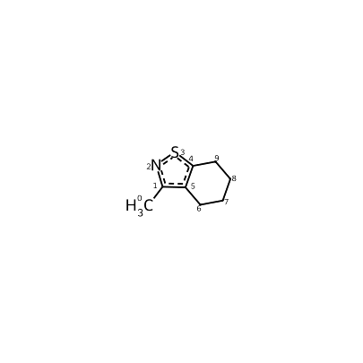 Cc1nsc2c1CCCC2